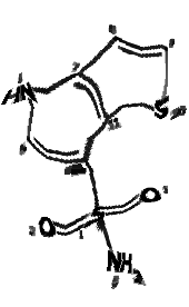 NS(=O)(=O)c1c[nH]c2ccsc12